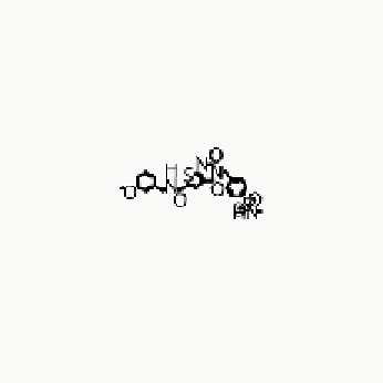 CNS(=O)(=O)c1ccc(Cn2c(=O)c3cc(C(=O)NCc4cccc(OC)c4)sc3n(C)c2=O)cc1